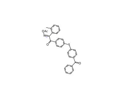 CC(=O)O/N=C(/C(=O)c1ccc(Sc2ccc(C(=O)c3ccccc3)cc2)cc1)c1ccccc1C